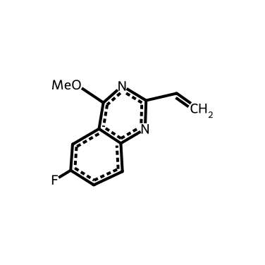 C=Cc1nc(OC)c2cc(F)ccc2n1